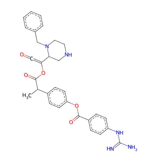 CC(C(=O)OC(=C=O)C1CNCCN1Cc1ccccc1)c1ccc(OC(=O)c2ccc(NC(=N)N)cc2)cc1